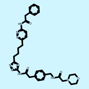 O=C(CN1CCOCC1)NCc1ccc(CC(=O)Nc2nnc(CCCCc3ccc(NC(=O)Cc4ccccc4)nn3)s2)cc1